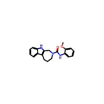 COc1ccccc1NC(=O)N1CCCc2c([nH]c3ccccc23)C1